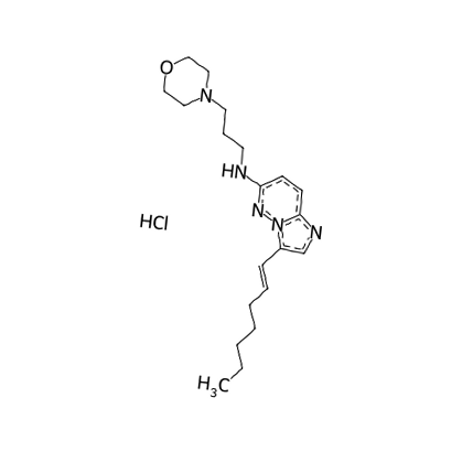 CCCCCC=Cc1cnc2ccc(NCCCN3CCOCC3)nn12.Cl